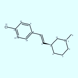 CN1CCC[C@@H](/C=C/c2ccc(Cl)nc2)C1